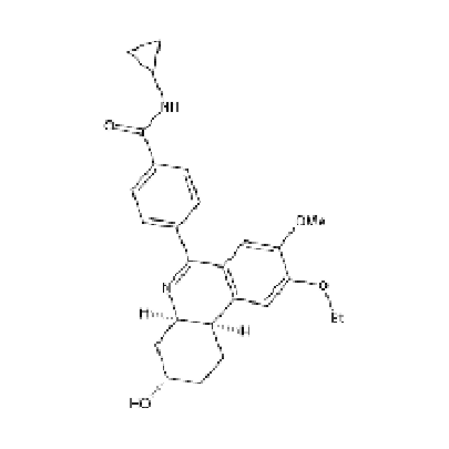 CCOc1cc2c(cc1OC)C(c1ccc(C(=O)NC3CC3)cc1)=N[C@@H]1C[C@@H](O)CC[C@H]21